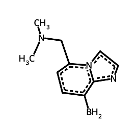 Bc1ccc(CN(C)C)n2ccnc12